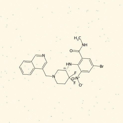 CNC(=O)c1cc(Br)cc([N+](=O)[O-])c1N[C@H]1CN(Cc2cncc3ccccc23)CCC1(F)F